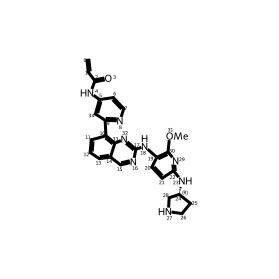 C=CC(=O)Nc1ccnc(-c2cccc3cnc(Nc4ccc(N[C@@H]5CCNC5)nc4OC)nc23)c1